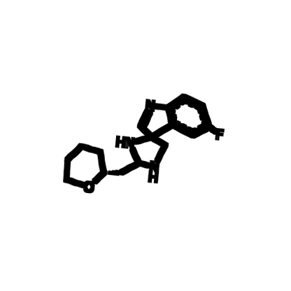 Fc1ccc2c(c1)C1(C=N2)CNC(C[C@H]2CCCCO2)N1